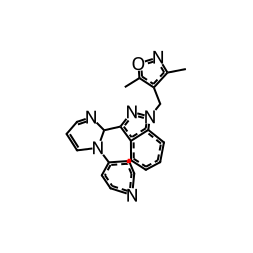 Cc1noc(C)c1Cn1nc(C2N=CC=CN2c2ccncc2)c2ccccc21